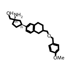 COc1ccc(COCC2CCc3cc([C@H]4CC[C@](N)(CO)C4)ccc3C2)cc1